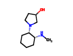 CN[C@@H]1CCCC[C@@H]1N1CCC(O)C1